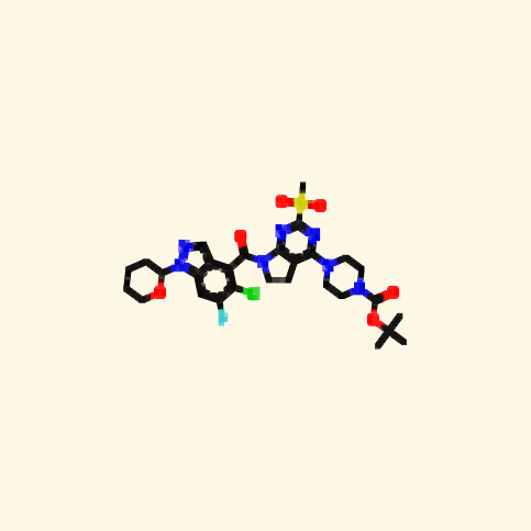 CC(C)(C)OC(=O)N1CCN(c2nc(S(C)(=O)=O)nc3c2CCN3C(=O)c2c(Cl)c(F)cc3c2cnn3C2CCCCO2)CC1